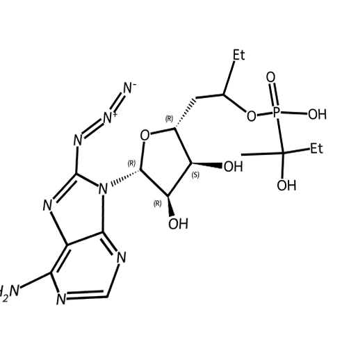 CCC(C[C@H]1O[C@@H](n2c(N=[N+]=[N-])nc3c(N)ncnc32)[C@H](O)[C@@H]1O)OP(=O)(O)C(C)(O)CC